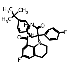 CC(C)(C)c1ccc(CC(C(N)=O)(c2ccc(F)cc2)N2CCCc3cc(F)cc(C(=O)O)c32)cc1